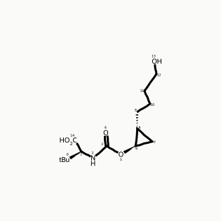 CC(C)(C)[C@H](NC(=O)O[C@@H]1C[C@H]1CCCCO)C(=O)O